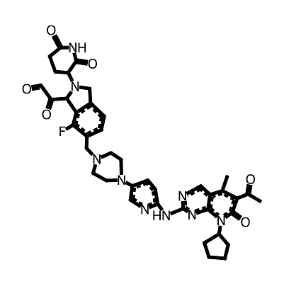 CC(=O)c1c(C)c2cnc(Nc3ccc(N4CCN(Cc5ccc6c(c5F)C(C(=O)C=O)N(C5CCC(=O)NC5=O)C6)CC4)cn3)nc2n(C2CCCC2)c1=O